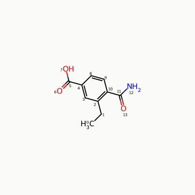 CCc1cc(C(=O)O)ccc1C(N)=O